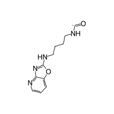 O=[C]NCCCCNc1nc2ncccc2o1